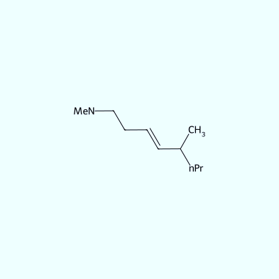 CCCC(C)/C=C/CCNC